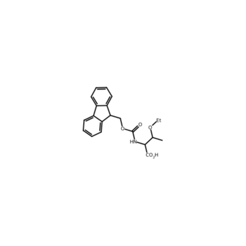 CCOC(C)C(NC(=O)OCC1c2ccccc2-c2ccccc21)C(=O)O